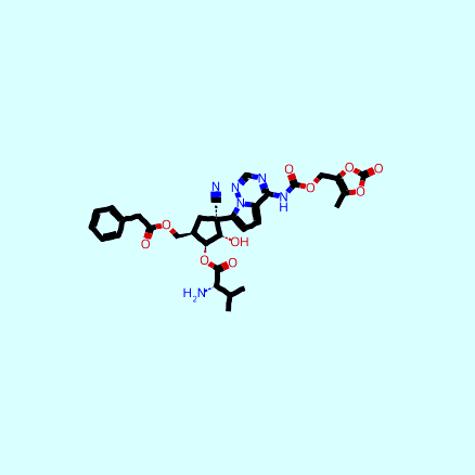 Cc1oc(=O)oc1COC(=O)Nc1ncnn2c([C@]3(C#N)C[C@H](COC(=O)Cc4ccccc4)[C@@H](OC(=O)[C@@H](N)C(C)C)[C@H]3O)ccc12